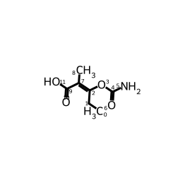 CC/C(OC(N)=O)=C(/C)C(=O)O